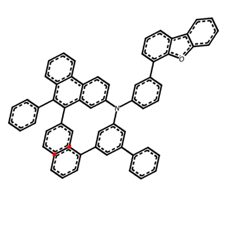 c1ccc(-c2cc(-c3ccccc3)cc(N(c3cccc(-c4cccc5c4oc4ccccc45)c3)c3ccc4c(c3)c(-c3ccccc3)c(-c3ccccc3)c3ccccc34)c2)cc1